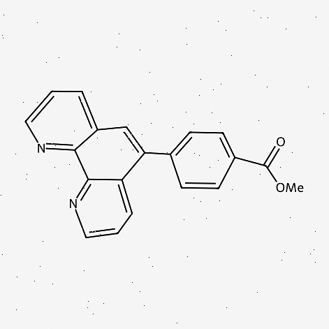 COC(=O)c1ccc(-c2cc3cccnc3c3ncccc23)cc1